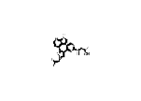 C[C@H](O)CNc1nccc(-c2cn(CC(F)F)nc2-c2ccnc3[nH]ccc23)n1